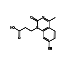 Cc1nc(=O)n(CCC(=O)O)c2cc(O)ccc12